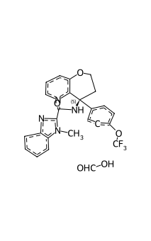 Cn1c(C(=O)N[C@]2(c3ccc(OC(F)(F)F)cc3)CCOc3cccnc32)nc2ccccc21.O=CO